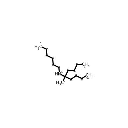 CCCCCCNC(C)(CCCC)CCCC